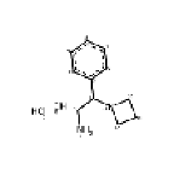 Cl.Cl.NCC(c1ccccc1)N1CCC1